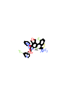 N#Cc1c(N)sc2ccc(F)c(-c3c4c(c5c(N6C7CC6CN(CCCO)C7)nc(OC[C@@]67CCCN6C[C@H](F)C7)nc5c3F)COC4)c12